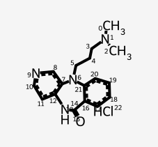 CN(C)CCCN1c2cnccc2NC(=O)c2ccccc21.Cl